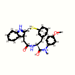 COc1ccc(N(C)C(=O)[C@@H]2Cc3cccc(c3)SCc3[nH]c4ccccc4c3CC(=O)N2)cc1